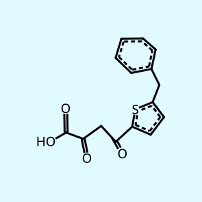 O=C(O)C(=O)CC(=O)c1ccc(Cc2ccccc2)s1